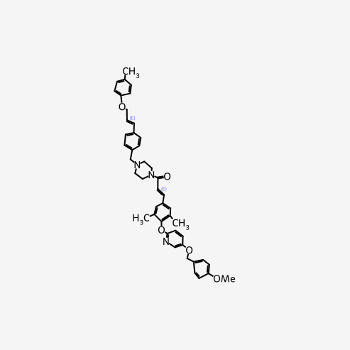 COc1ccc(COc2ccc(Oc3c(C)cc(/C=C/C(=O)N4CCN(Cc5ccc(/C=C/COc6ccc(C)cc6)cc5)CC4)cc3C)nc2)cc1